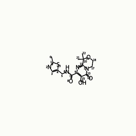 Cc1ncc(CNC(=O)c2nc3n(c(=O)c2O)CCOC3(C)C)s1